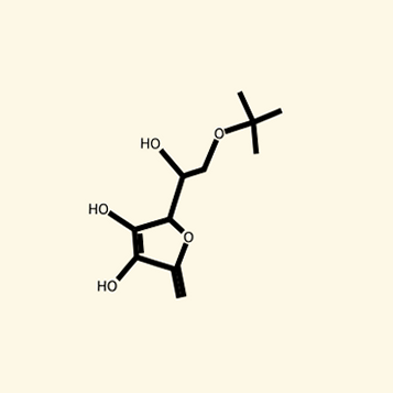 C=C1OC(C(O)COC(C)(C)C)C(O)=C1O